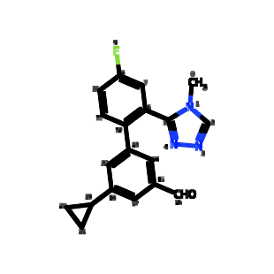 Cn1cnnc1-c1cc(F)ccc1-c1cc(C=O)cc(C2CC2)c1